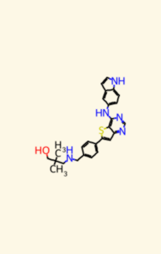 CC(C)(CO)CNCc1ccc(-c2cc3ncnc(Nc4ccc5[nH]ccc5c4)c3s2)cc1